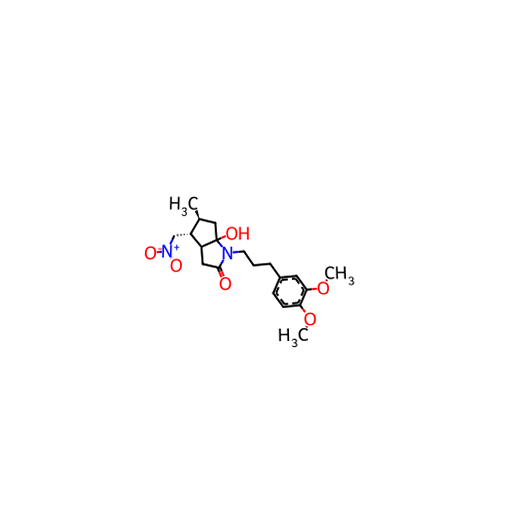 COc1ccc(CCCN2C(=O)CC3[C@H](C[N+](=O)[O-])[C@@H](C)CC32O)cc1OC